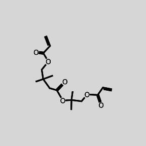 C=CC(=O)OCC(C)(C)CC(=O)OC(C)(C)COC(=O)C=C